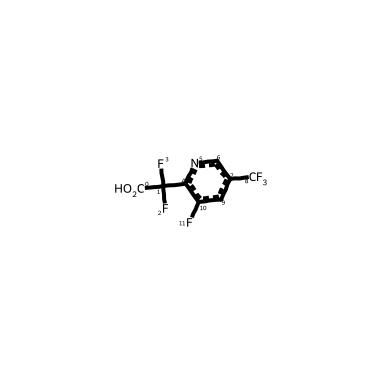 O=C(O)C(F)(F)c1ncc(C(F)(F)F)cc1F